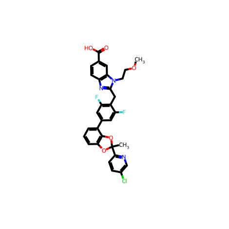 COCCn1c(Cc2c(F)cc(-c3cccc4c3OC(C)(c3ccc(Cl)cn3)O4)cc2F)nc2ccc(C(=O)O)cc21